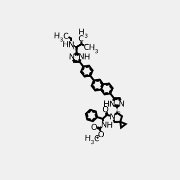 CCN[C@H](c1ncc(-c2ccc(-c3ccc4cc(-c5cnc([C@@H]6CC7(CC7)CN6C(=O)C(NC(=O)OC)c6ccccc6)[nH]5)ccc4c3)cc2)[nH]1)C(C)C